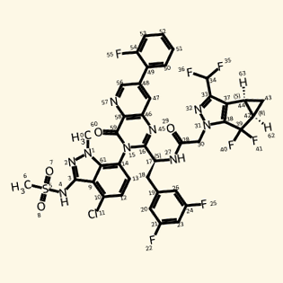 Cn1nc(NS(C)(=O)=O)c2c(Cl)ccc(-n3c([C@H](Cc4cc(F)cc(F)c4)NC(=O)Cn4nc(C(F)F)c5c4C(F)(F)[C@@H]4C[C@H]54)nc4cc(-c5ccccc5F)cnc4c3=O)c21